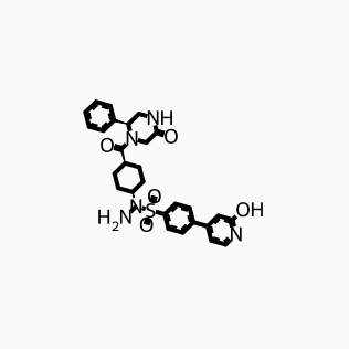 NN([C@H]1CC[C@H](C(=O)N2CC(=O)NC[C@@H]2c2ccccc2)CC1)S(=O)(=O)c1ccc(-c2ccnc(O)c2)cc1